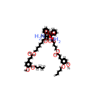 CCCCCOc1cc(C=CC(=O)OCCCCCCCCc2ccccc2C(N)(CCCCCCCCOC(=O)C=Cc2ccc(OC)c(OCCCCC)c2)C(C(=O)O)(C(=O)O)C(N)c2ccccc2)ccc1OC